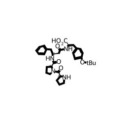 CC(C)(C)Oc1ccc(C[C@H](NC(=O)C[C@H](Cc2ccccc2)NC(=O)[C@@H]2CCCN2C(=O)[C@@H]2CCCN2)C(=O)O)cc1